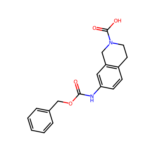 O=C(Nc1ccc2c(c1)CN(C(=O)O)CC2)OCc1ccccc1